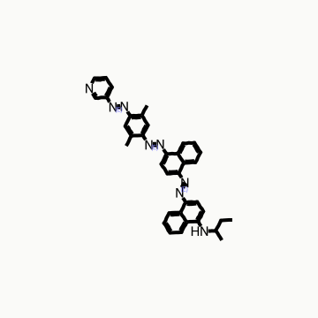 CCC(C)Nc1ccc(/N=N/c2ccc(/N=N/c3cc(C)c(/N=N/c4cccnc4)cc3C)c3ccccc23)c2ccccc12